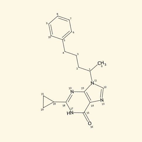 CC(CCCc1ccccc1)n1cnc2c(=O)[nH]c(C3CC3)nc21